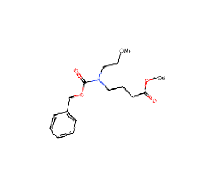 COCCN(CCCC(=O)OC(C)(C)C)C(=O)OCc1ccccc1